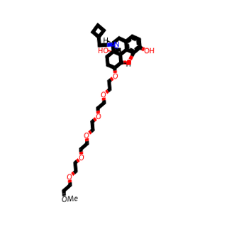 COCCOCCOCCOCCOCCOCCOC1CC[C@@]2(O)[C@H]3Cc4ccc(O)c5c4[C@@]2(CCN3CC2CCC2)[C@H]1O5